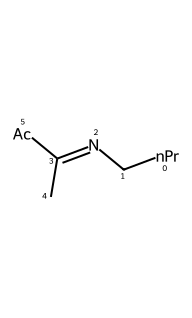 CCCCN=C(C)C(C)=O